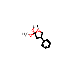 COC1(OC)CC(c2ccccc2)CO1